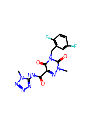 Cn1nnnc1NC(=O)c1nn(C)c(=O)n(Cc2cc(F)ccc2F)c1=O